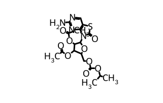 CC(=O)OC1C(COC(=O)OC(C)C)OC(n2c(=O)sc3cnc(N)nc32)C1OC(C)=O